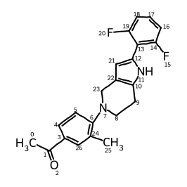 CC(=O)c1ccc(N2CCc3[nH]c(-c4c(F)cccc4F)cc3C2)c(C)c1